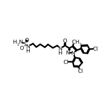 Cc1c(C(=O)NCCCCCCCNS(N)(=O)=O)nn(-c2ccc(Cl)cc2Cl)c1-c1ccc(Cl)cc1